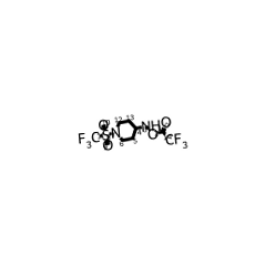 O=C(ONC1CCN(S(=O)(=O)C(F)(F)F)CC1)C(F)(F)F